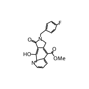 COC(=O)c1c2c(c(O)c3ncccc13)C(=O)N(Cc1ccc(F)cc1)C2